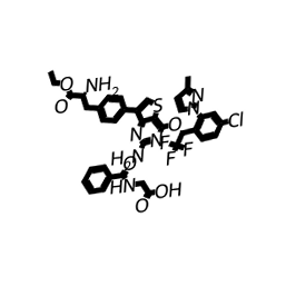 CCOC(=O)[C@@H](N)Cc1ccc(-c2csc3c(O[C@H](c4ccc(Cl)cc4-n4ccc(C)n4)C(F)(F)F)nc(N)nc23)cc1.O=C(O)CNC(=O)c1ccccc1